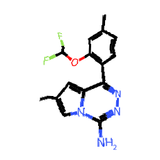 Cc1ccc(-c2nnc(N)n3cc(C)cc23)c(OC(F)F)c1